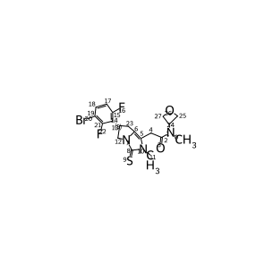 CN(C(=O)Cc1c2n(c(=S)n1C)C[C@H](c1c(F)ccc(Br)c1F)C2)C1COC1